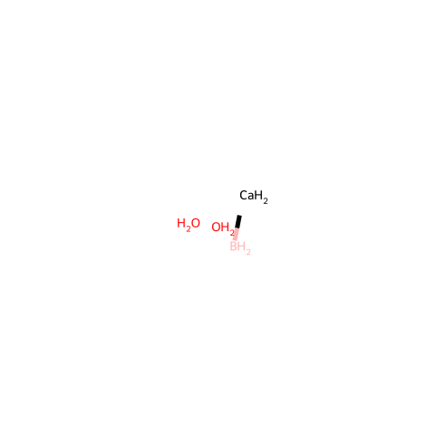 BC.O.O.[CaH2]